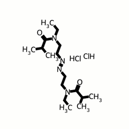 CCN(CCN=NCCN(CC)C(=O)C(C)C)C(=O)C(C)C.Cl.Cl